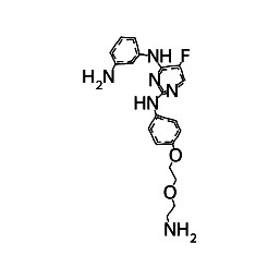 NCCOCCOc1ccc(Nc2ncc(F)c(Nc3cccc(N)c3)n2)cc1